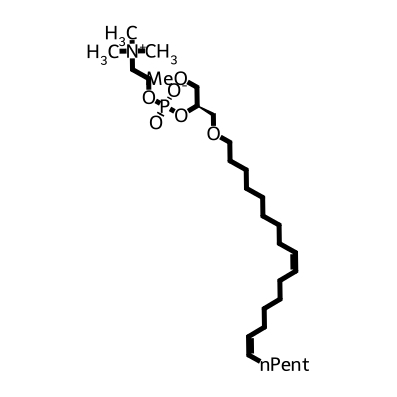 CCCCC/C=C\CCCC/C=C\CCCCCCCCOC[C@H](COC)OP(=O)([O-])OCC[N+](C)(C)C